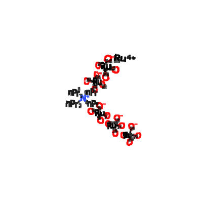 CCC[N+](CCC)(CCC)CCC.[O]=[Ru](=[O])(=[O])[O-].[O]=[Ru](=[O])(=[O])[O-].[O]=[Ru](=[O])(=[O])[O-].[O]=[Ru](=[O])(=[O])[O-].[O]=[Ru](=[O])(=[O])[O-].[Ru+4]